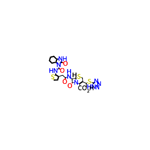 CC(Sc1nnn[nH]1)C1=C(C(=O)O)N2C(=O)C(NC(=O)Cc3ccsc3NC(=O)n3c(=O)[nH]c4ccccc43)[C@@H]2SC1